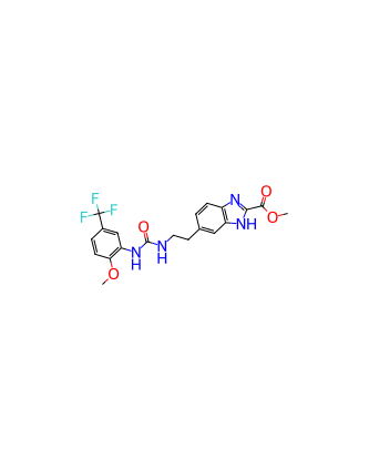 COC(=O)c1nc2ccc(CCNC(=O)Nc3cc(C(F)(F)F)ccc3OC)cc2[nH]1